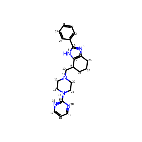 c1ccc(-c2nc3c([nH]2)C(CN2CCN(c4ncccn4)CC2)CCC3)cc1